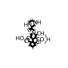 CC1=C(C(=O)O)C(c2c(Cl)cccc2Cl)C(C(=O)O)=CN1CC(=O)C1CNCCN1